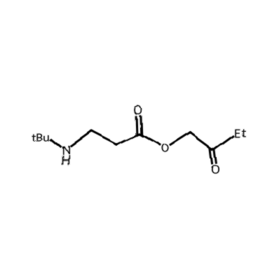 CCC(=O)COC(=O)CCNC(C)(C)C